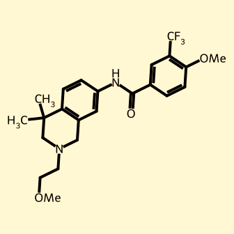 COCCN1Cc2cc(NC(=O)c3ccc(OC)c(C(F)(F)F)c3)ccc2C(C)(C)C1